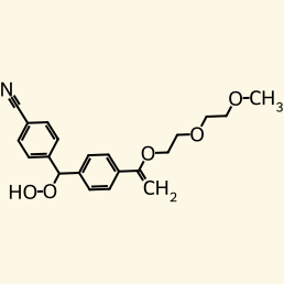 C=C(OCCOCCOC)c1ccc(C(OO)c2ccc(C#N)cc2)cc1